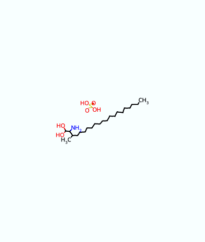 CCCCCCCCCCCCCCCCCCC(C)C(N)C(O)O.O=S(=O)(O)O